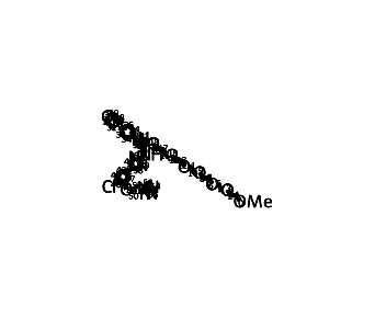 COCCOCCOCCOCCOCCOCCCOc1nn(C2CCC(N3CCOCC3)CC2)cc1Nc1ncc(-c2ccc(Cl)c(O[C@@H](C)Cn3cnnn3)c2)cn1